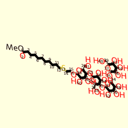 COC(=O)CCCCCCCCCCSCCO[C@H]1O[C@H](CO)[C@@H](O[C@@H]2O[C@H](CO)[C@@H](O[C@@H]3O[C@H](CO[C@@H]4O[C@H](CO)[C@@H](O)[C@H](O)[C@H]4O)[C@@H](O)[C@H](O)[C@H]3O)[C@H](O)[C@H]2O)[C@H](O)[C@H]1O